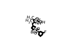 CC(C)(C)C(Cc1cc(Br)n(S(=O)(=O)c2cccc(F)c2)c1)NC(=O)O